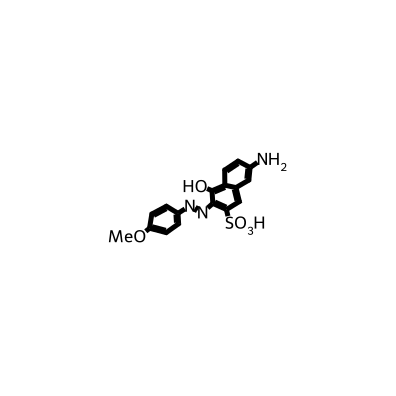 COc1ccc(/N=N/c2c(S(=O)(=O)O)cc3cc(N)ccc3c2O)cc1